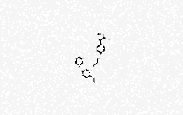 CCCc1ccc(Oc2ccccc2)cc1OCCCOc1ccc(C2SC(=O)NC2=O)cc1